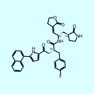 O=C1OCCC1=C[C@H](C[C@@H]1CCNC1=O)NC(=O)[C@@H](CC(=O)c1ccc(-c2cccc3ccccc23)[nH]1)Cc1ccc(F)cc1